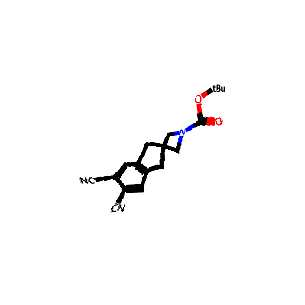 CC(C)(C)OC(=O)N1CC2(Cc3cc(C#N)c(C#N)cc3C2)C1